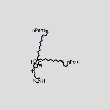 CCCCC/C=C\C/C=C\CCCCCCCCC1(CCCCCCCC/C=C\C/C=C\CCCCC)O[C@H]2C[C@@H](N(C)CCc3c[nH]cn3)C[C@H]2O1